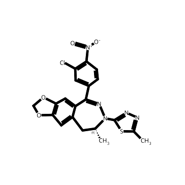 Cc1nnc(N2N=C(c3ccc([N+](=O)[O-])c(Cl)c3)c3cc4c(cc3C[C@H]2C)OCO4)s1